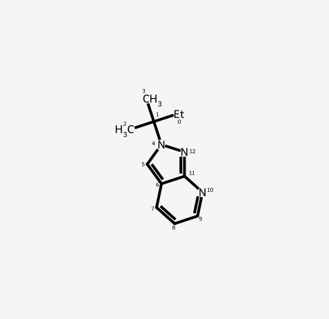 CCC(C)(C)n1cc2cccnc2n1